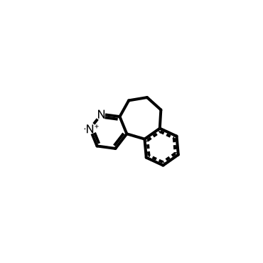 C1=[N+]N=C2CCCc3ccccc3C2=C1